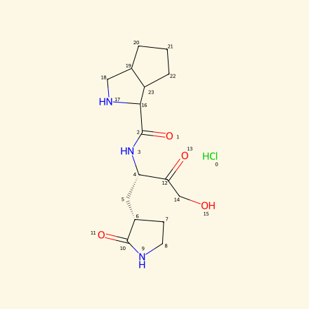 Cl.O=C(N[C@@H](C[C@@H]1CCNC1=O)C(=O)CO)C1NCC2CCCC21